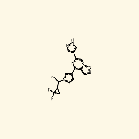 CCC(C1CC1(F)F)n1cc(-c2nc(-c3cn[nH]c3)cn3nccc23)cn1